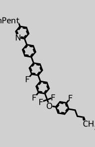 C=CCCc1ccc(OC(F)(F)c2ccc(-c3ccc(-c4ccc(-c5ccc(CCCCC)cn5)cc4)cc3F)cc2F)cc1F